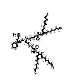 CCCCCCCCC(CCCCCCCC)CNC(=O)CCCCCN(CCCCCC(=O)NCC(CCCCCCCC)CCCCCCCC)CCN(CCO)C1CCCCC1